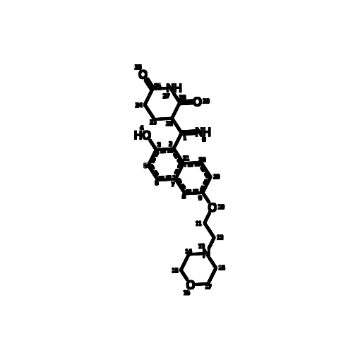 N=C(c1c(O)ccc2cc(OCCN3CCOCC3)ccc12)C1CCC(=O)NC1=O